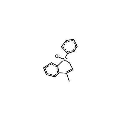 CC1=CC[N+]([O-])(c2ccccc2)c2ccccc21